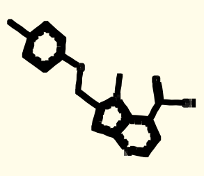 Cc1ccc(OCc2cc3nccc(C(=O)O)c3n2C)cc1